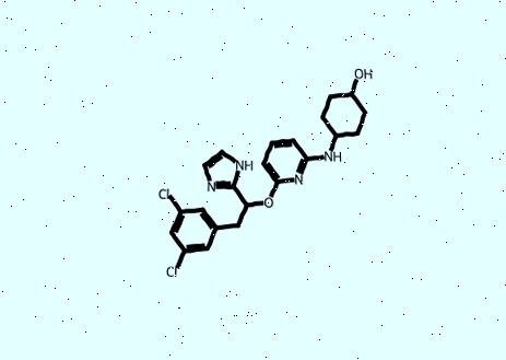 OC1CCC(Nc2cccc(OC(Cc3cc(Cl)cc(Cl)c3)c3ncc[nH]3)n2)CC1